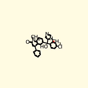 Cn1cncc1[C@@](O)(c1ccc(Cl)cc1)c1ccc2c(c1)c(-c1ccccc1)cc(=O)n2C